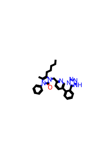 CCCCCc1c(C)n(-c2ccccc2)c(=O)n1Cc1ccc(-c2ccccc2-c2nnn[nH]2)cn1